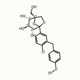 CCOc1ccc(Cc2cc(C34OC[C@](CO)(O3)[C@@H](O)[C@H](O)[C@H]4O)ccc2Cl)cc1